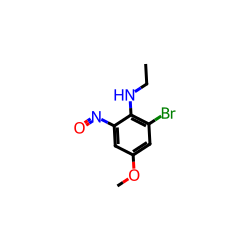 CCNc1c(Br)cc(OC)cc1N=O